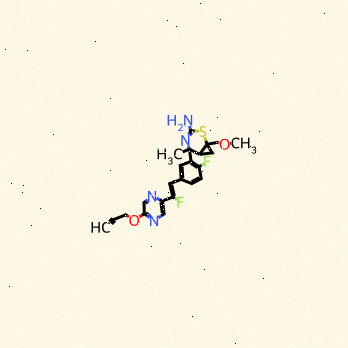 C#CCOc1cnc(/C(F)=C/c2ccc(F)c(C3(C)N=C(N)SC4(COC)CC43)c2)cn1